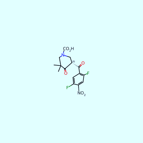 CC1(C)CN(C(=O)O)C[C@H](C(=O)c2cc(F)c([N+](=O)[O-])cc2F)C1=O